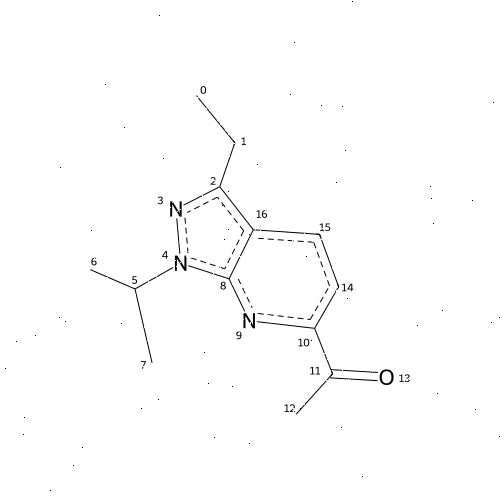 CCc1nn(C(C)C)c2nc(C(C)=O)ccc12